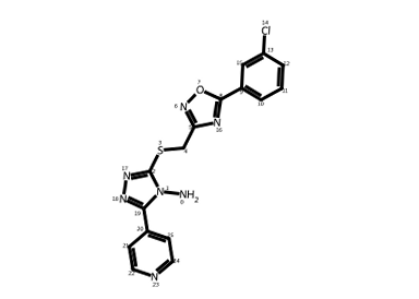 Nn1c(SCc2noc(-c3cccc(Cl)c3)n2)nnc1-c1ccncc1